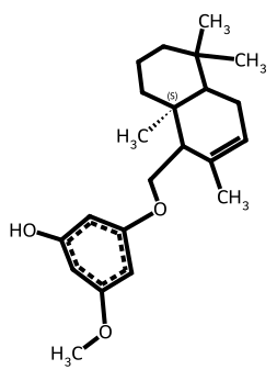 COc1cc(O)cc(OCC2C(C)=CCC3C(C)(C)CCC[C@]23C)c1